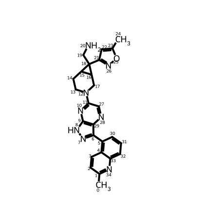 Cc1ccc2c(-c3n[nH]c4nc(N5CCC6C(C5)C6(CN)c5cc(C)on5)cnc34)cccc2n1